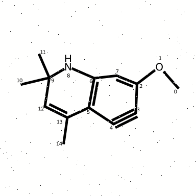 COc1c#cc2c(c1)NC(C)(C)C=C2C